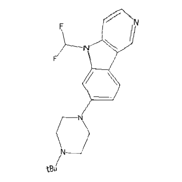 CC(C)(C)N1CCN(c2ccc3c4cnccc4n(C(F)F)c3c2)CC1